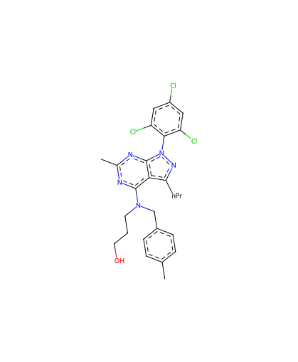 CCCc1nn(-c2c(Cl)cc(Cl)cc2Cl)c2nc(C)nc(N(CCCO)Cc3ccc(C)cc3)c12